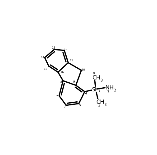 C[Si](C)(N)c1cccc2c1Cc1ccccc1-2